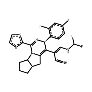 N=C/C(=C\NC(F)F)C1=C2CC3CCCC3N2C(c2nccs2)=N[C@H]1c1ccc(F)cc1Cl